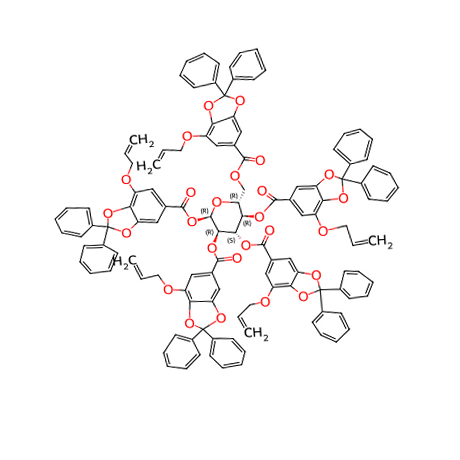 C=CCOc1cc(C(=O)OC[C@H]2O[C@H](OC(=O)c3cc(OCC=C)c4c(c3)OC(c3ccccc3)(c3ccccc3)O4)[C@H](OC(=O)c3cc(OCC=C)c4c(c3)OC(c3ccccc3)(c3ccccc3)O4)[C@@H](OC(=O)c3cc(OCC=C)c4c(c3)OC(c3ccccc3)(c3ccccc3)O4)[C@@H]2OC(=O)c2cc(OCC=C)c3c(c2)OC(c2ccccc2)(c2ccccc2)O3)cc2c1OC(c1ccccc1)(c1ccccc1)O2